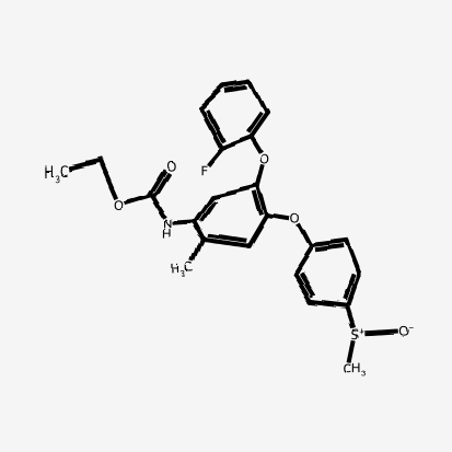 CCOC(=O)Nc1cc(Oc2ccccc2F)c(Oc2ccc([S+](C)[O-])cc2)cc1C